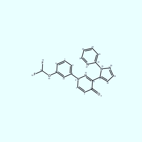 O=c1ccn(-c2cccc(OC(F)F)c2)nc1-c1ccnn1-c1ccccn1